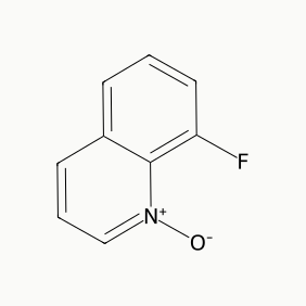 [O-][n+]1cccc2cccc(F)c21